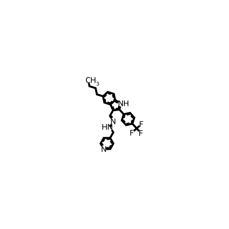 CCCCc1ccc2[nH]c(-c3ccc(C(F)(F)F)cc3)c(C=NNCc3ccncc3)c2c1